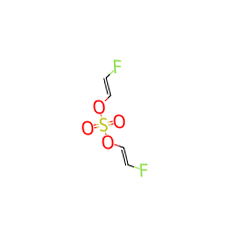 O=S(=O)(OC=CF)OC=CF